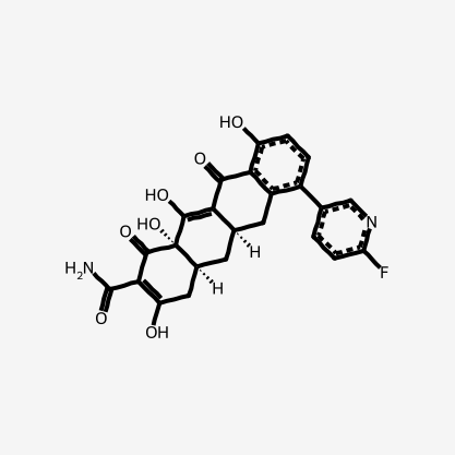 NC(=O)C1=C(O)C[C@@H]2C[C@@H]3Cc4c(-c5ccc(F)nc5)ccc(O)c4C(=O)C3=C(O)[C@]2(O)C1=O